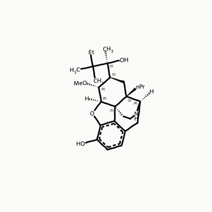 CCC[C@]12C[C@H]([C@](C)(O)C(C)(C)CC)[C@@H](OC)[C@@H]3Oc4c(O)ccc5c4[C@@]31CCN[C@@H]2C5